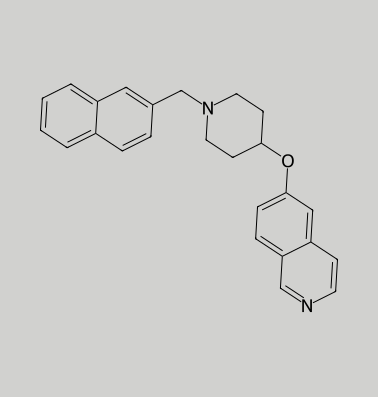 c1ccc2cc(CN3CCC(Oc4ccc5cnccc5c4)CC3)ccc2c1